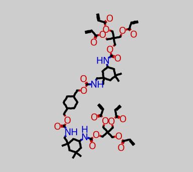 C=CC(=O)OCC(COC(=O)C=C)(COC(=O)C=C)COC(=O)NC1CC(C)(C)CC(C)(CNC(=O)OCC2CCC(COC(=O)NCC3(C)CC(NC(=O)OCC(COC(=O)C=C)(COC(=O)C=C)COC(=O)C=C)CC(C)(C)C3)CC2)C1